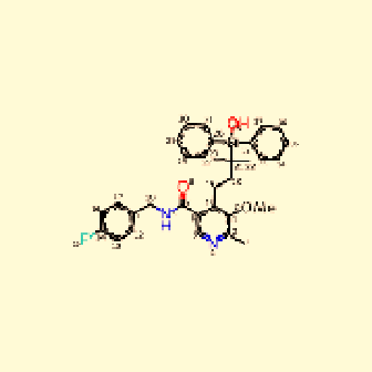 COc1c(C)ncc(C(=O)NCc2ccc(F)cc2)c1CCC(C)(C)[Si](O)(c1ccccc1)c1ccccc1